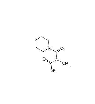 CCCC(=O)N(C)C(=O)N1CCCCC1